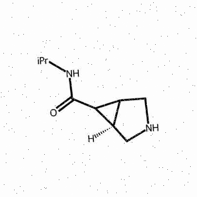 CC(C)NC(=O)C1C2CNC[C@H]21